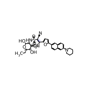 CC[C@H]1OC(O)[C@H](NS(=O)(=O)/C(C#N)=C(\C)c2ccc(-c3ccc4cc(N5CCCCC5)ccc4c3)o2)[C@@H](O)[C@@H]1O